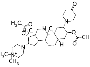 CC(=O)O[C@H]1C[C@@H]2CCC3C4C[C@H](N5CC[N+](C)(C)CC5)[C@H](OC(C)=O)[C@@]4(C)CCC3[C@@]2(C)C[C@@H]1N1CCC(=O)CC1